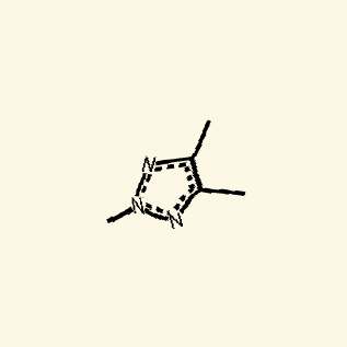 Cc1nn(C)nc1C